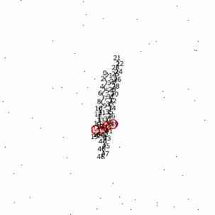 CCCCCCCCCCCCCCCC(=O)OC(C)C.CCCCCCCCCCCCCCCCCC(=O)OCCCCCCCC